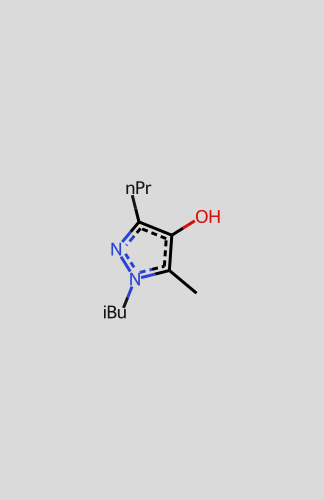 CCCc1nn(C(C)CC)c(C)c1O